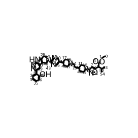 CCOC(=O)C(c1cc(N2CCC(CCN3CCC(c4cnc(N5CCc6[nH]c7nnc(-c8ccccc8O)cc7c6[C@H]5C)nc4)CC3)CC2)no1)C(C)C